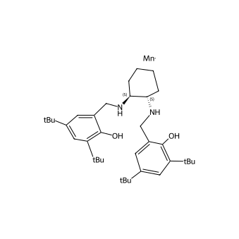 CC(C)(C)c1cc(CN[C@H]2CCCC[C@@H]2NCc2cc(C(C)(C)C)cc(C(C)(C)C)c2O)c(O)c(C(C)(C)C)c1.[Mn]